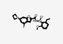 CCc1cccc(OC)c1[S+]([O-])NC(=O)c1cc2c(F)cc(N3CCC3)cc2o1